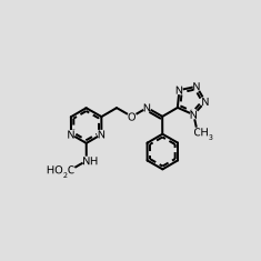 Cn1nnnc1C(=NOCc1ccnc(NC(=O)O)n1)c1ccccc1